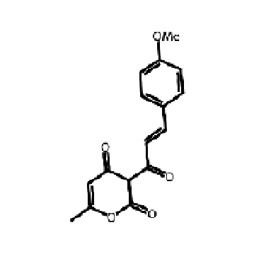 COc1ccc(C=CC(=O)C2C(=O)C=C(C)OC2=O)cc1